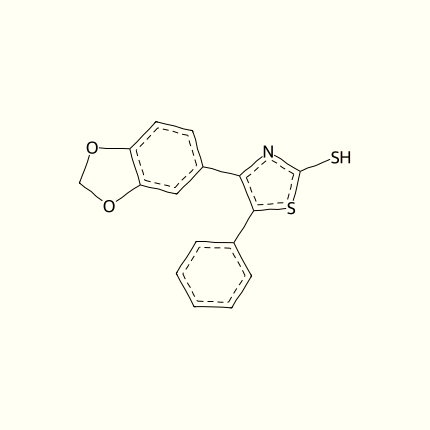 Sc1nc(-c2ccc3c(c2)OCO3)c(-c2ccccc2)s1